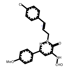 COc1ccc(-c2cc(NC=O)c(=O)n(C/C=C/c3ccc(Cl)cc3)n2)cc1